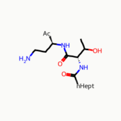 CCCCCCCC(=O)N[C@H](C(=O)N[C@@H](CCN)C(C)=O)C(C)O